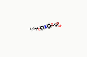 CCCCOc1ccc(N=Nc2ccc(OCCCC(=O)O)cc2)cc1